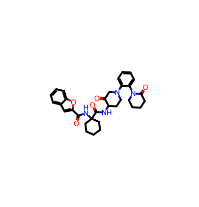 O=C(NC1(C(=O)NC2CCN(c3ccccc3N3CCCCC3=O)CC2=O)CCCCC1)c1cc2ccccc2o1